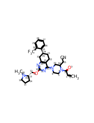 C=CC(=O)N1CCN(c2nc(OC[C@@H]3CCCN3C)nc3c2CC[C@H](c2ccccc2C(F)(F)F)C3)CC1CC#N